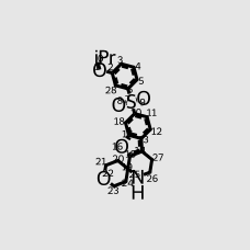 CC(C)Oc1cccc(S(=O)(=O)c2ccc3c4c(oc3c2)C2(CCOCC2)NCC4)c1